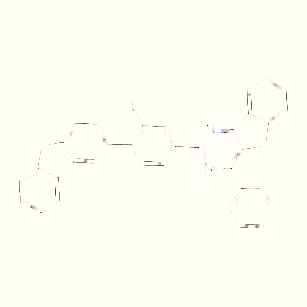 Clc1cc(-c2nc(-c3ccccc3)c3sc4ccccc4c3n2)ccc1-c1ccc2sc3ccccc3c2c1